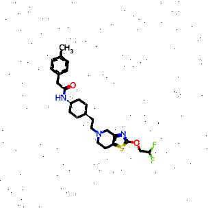 Cc1ccc(CC(=O)N[C@H]2CC[C@H](CCN3CCc4sc(OCC(F)F)nc4C3)CC2)cc1